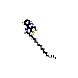 CCCCCCCCCCCCCCC/C=N\c1c2c(nc3ccccc13)CCSC2